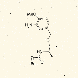 COc1ccc(COC[C@@H](C)NC(=O)OC(C)(C)C)cc1N